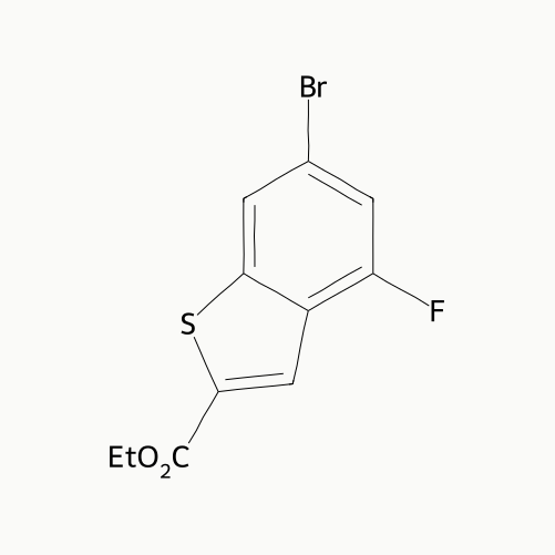 CCOC(=O)c1cc2c(F)cc(Br)cc2s1